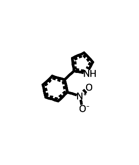 O=[N+]([O-])c1ccccc1-c1ccc[nH]1